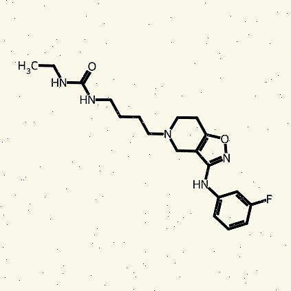 CCNC(=O)NCCCCN1CCc2onc(Nc3cccc(F)c3)c2C1